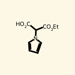 CCOC(=O)C(C(=O)O)n1cccc1